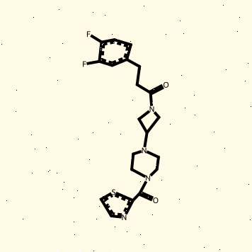 O=C(CCc1ccc(F)c(F)c1)N1CC(N2CCN(C(=O)c3nccs3)CC2)C1